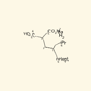 CCCCCCCC(CC(C(=O)O)C(=O)O)C(C)C.[BaH2]